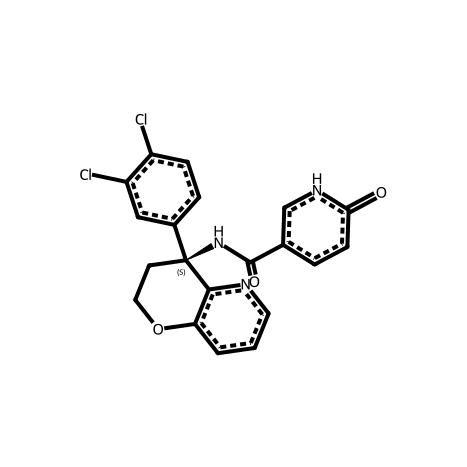 O=C(N[C@]1(c2ccc(Cl)c(Cl)c2)CCOc2cccnc21)c1ccc(=O)[nH]c1